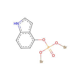 O=P(OBr)(OBr)Oc1cccc2[nH]ccc12